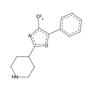 FC(F)(F)c1nc(C2CCNCC2)oc1-c1ccccc1